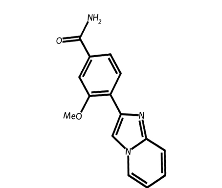 COc1cc(C(N)=O)ccc1-c1cn2ccccc2n1